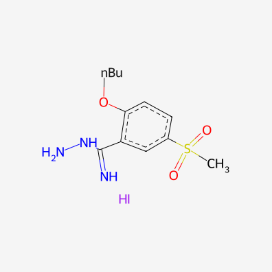 CCCCOc1ccc(S(C)(=O)=O)cc1C(=N)NN.I